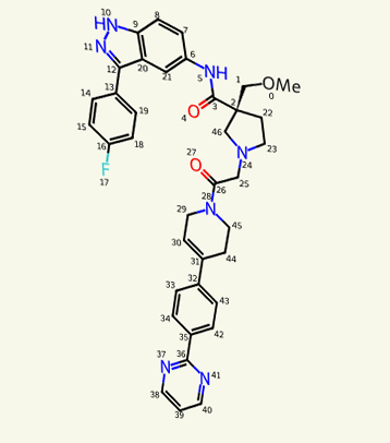 COC[C@@]1(C(=O)Nc2ccc3[nH]nc(-c4ccc(F)cc4)c3c2)CCN(CC(=O)N2CC=C(c3ccc(-c4ncccn4)cc3)CC2)C1